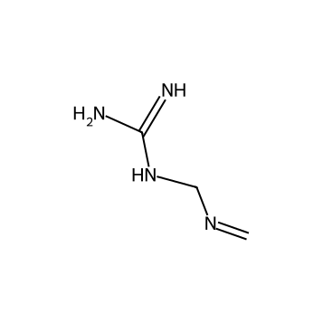 C=NCNC(=N)N